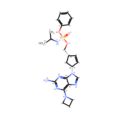 CC(N[P@](=O)(OC[C@@H]1C=C[C@H](n2cnc3c(N4CCC4)nc(N)nc32)C1)Oc1ccccc1)C(=O)O